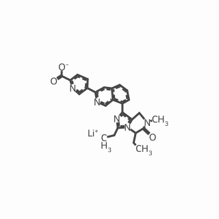 CCc1nc(-c2cccc3cc(-c4ccc(C(=O)[O-])nc4)ncc23)c2n1C(CC)C(=O)N(C)C2.[Li+]